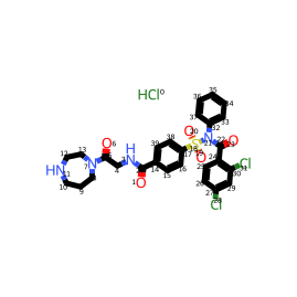 Cl.O=C(NCC(=O)N1CCCNCC1)c1ccc(S(=O)(=O)N(C(=O)c2ccc(Cl)cc2Cl)c2ccccc2)cc1